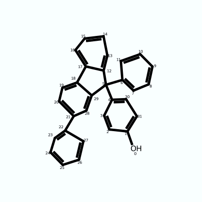 Oc1ccc(C2(c3ccccc3)c3ccccc3-c3ccc(-c4ccccc4)cc32)cc1